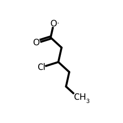 CCCC(Cl)CC([O])=O